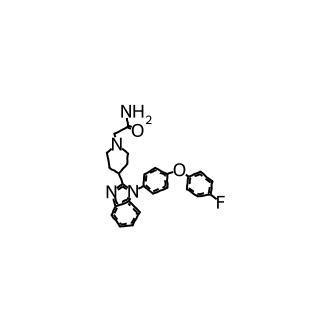 NC(=O)CN1CCC(c2nc3ccccc3n2-c2ccc(Oc3ccc(F)cc3)cc2)CC1